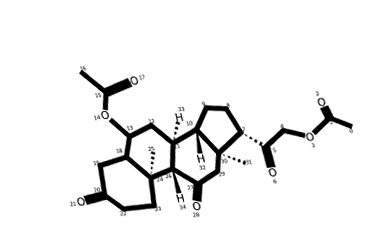 CC(=O)OCC(=O)[C@H]1CC[C@H]2[C@@H]3CC(OC(C)=O)C4CC(=O)CC[C@]4(C)[C@H]3C(=O)C[C@]12C